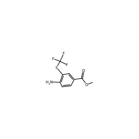 COC(=O)c1ccc(N)c(SC(F)(F)F)c1